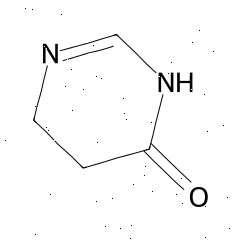 O=C1CCN=CN1